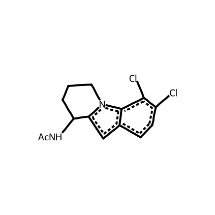 CC(=O)NC1CCCn2c1cc1ccc(Cl)c(Cl)c12